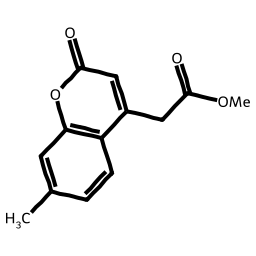 COC(=O)Cc1cc(=O)oc2cc(C)ccc12